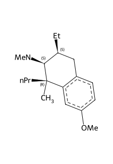 CCC[C@]1(C)c2cc(OC)ccc2C[C@H](CC)[C@@H]1NC